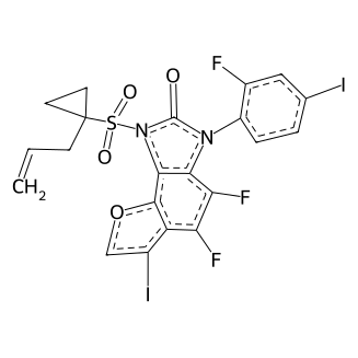 C=CCC1(S(=O)(=O)n2c(=O)n(-c3ccc(I)cc3F)c3c(F)c(F)c4c(I)coc4c32)CC1